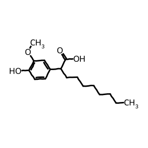 CCCCCCCCC(C(=O)O)c1ccc(O)c(OC)c1